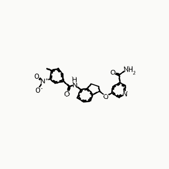 Cc1ccc(C(=O)Nc2cccc3c2CCC3Oc2cncc(C(N)=O)c2)cc1[N+](=O)[O-]